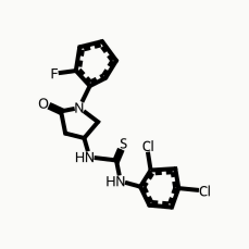 O=C1CC(NC(=S)Nc2ccc(Cl)cc2Cl)CN1c1ccccc1F